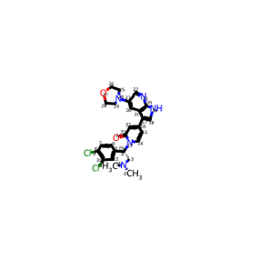 CN(C)C[C@H](c1ccc(Cl)c(Cl)c1)n1ccc(-c2c[nH]c3ncc(N4CCOCC4)cc23)cc1=O